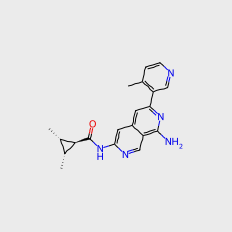 Cc1ccncc1-c1cc2cc(NC(=O)[C@H]3[C@H](C)[C@@H]3C)ncc2c(N)n1